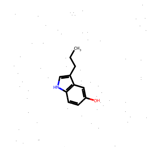 CCCc1c[nH]c2ccc(O)cc12